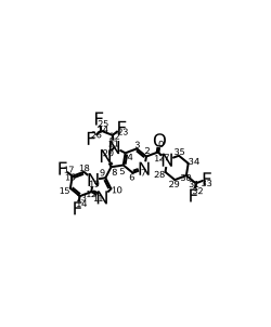 O=C(c1cc2c(cn1)c(-c1cnc3c(F)cc(F)cn13)nn2C(F)C(F)F)N1CCC(C(F)F)CC1